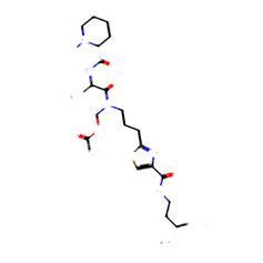 CCCC(=O)OCN(CCCc1nc(C(=O)NCC[C@H](C)C=O)cs1)C(=O)C(NC(=O)[C@H]1CCCCN1C)C(C)CC